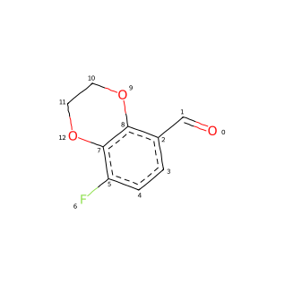 O=Cc1ccc(F)c2c1OCCO2